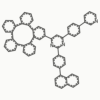 c1cncc(-c2ccc(-c3cc(-c4ccc5c6ccccc6c6ccccc6c6ccccc6c6ccccc6c5c4)nc(-c4ccc(-c5cccc6ccccc56)cc4)n3)cc2)c1